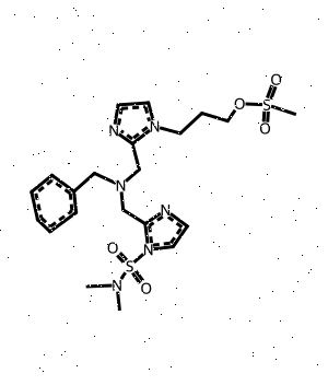 CN(C)S(=O)(=O)n1ccnc1CN(Cc1ccccc1)Cc1nccn1CCCOS(C)(=O)=O